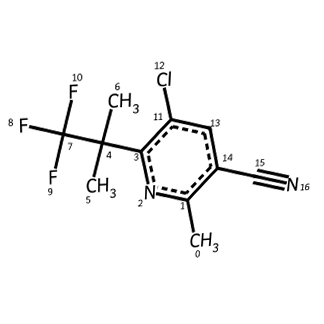 Cc1nc(C(C)(C)C(F)(F)F)c(Cl)cc1C#N